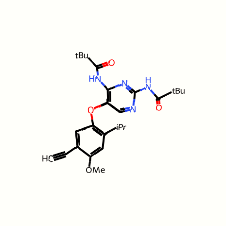 C#Cc1cc(Oc2cnc(NC(=O)C(C)(C)C)nc2NC(=O)C(C)(C)C)c(C(C)C)cc1OC